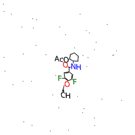 C#CCOc1c(F)cc(C(=O)NC2CCCCC2OC(C)=O)cc1F